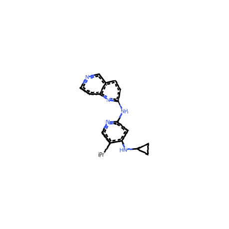 CC(C)c1cnc(Nc2ccc3cnccc3n2)cc1NC1CC1